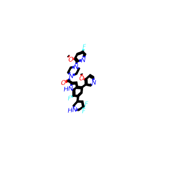 COc1ccncc1-c1cc(C2CNCC(F)(F)C2)c(F)c2[nH]c(C(=O)N3CCN(c4ncc(F)cc4OC)CC3)cc12